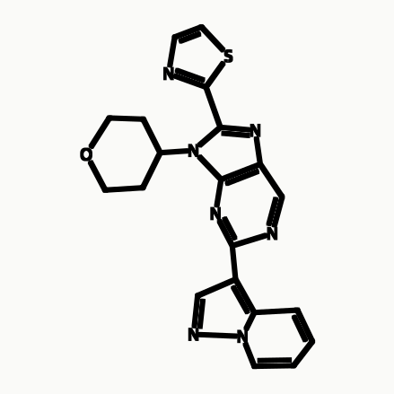 c1ccn2ncc(-c3ncc4nc(-c5nccs5)n(C5CCOCC5)c4n3)c2c1